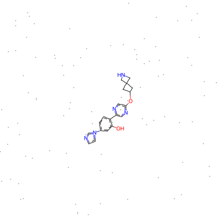 Oc1cc(-n2ccnc2)ccc1-c1cnc(OC2CC3(CNC3)C2)cn1